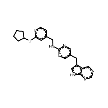 c1cc(CNc2ncc(Cc3c[nH]c4ncncc34)cn2)cc(OC2CCCC2)n1